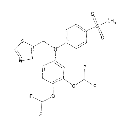 CS(=O)(=O)c1ccc(N(Cc2cncs2)c2ccc(OC(F)F)c(OC(F)F)c2)cc1